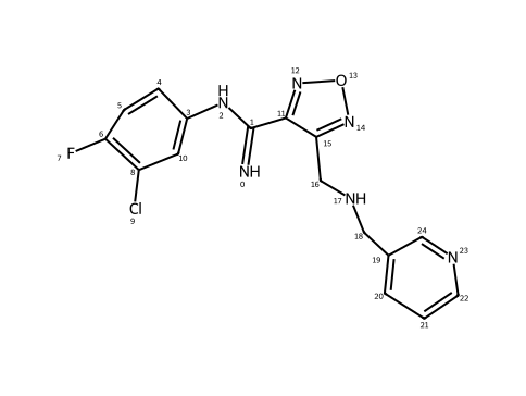 N=C(Nc1ccc(F)c(Cl)c1)c1nonc1CNCc1cccnc1